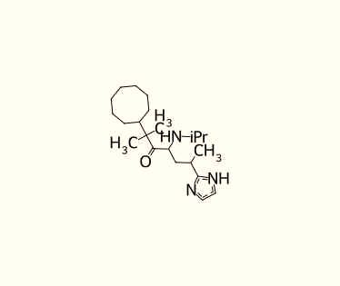 CC(C)NC(CC(C)c1ncc[nH]1)C(=O)C(C)(C)C1CCCCCCC1